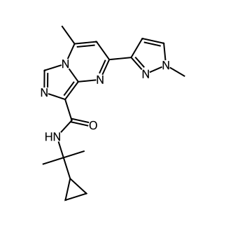 Cc1cc(-c2ccn(C)n2)nc2c(C(=O)NC(C)(C)C3CC3)ncn12